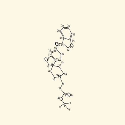 CC(C)(C)OC(=O)CCN1CCC2(CC1)COc1cc(OC3COc4ccccc43)ccc12